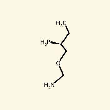 CC[C@H](P)COCN